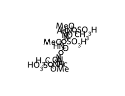 COc1cc(/N=N/C(C(C)=O)C(=O)Nc2cc(C)c(S(=O)(=O)O)cc2OC)c(S(=O)(=O)O)cc1NC(=O)c1ccc(/N=N/C(C(C)=O)C(=O)Nc2cc(C)c(S(=O)(=O)O)cc2OC)cc1